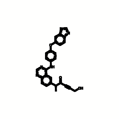 CN(C(=O)C#CCO)c1ccc2ncnc(Nc3ccc(Oc4ccn5ncnc5c4)cc3)c2c1